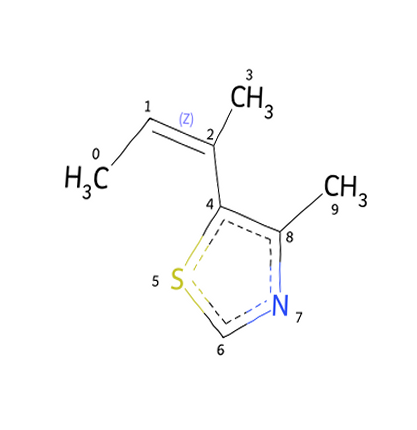 C/C=C(/C)c1scnc1C